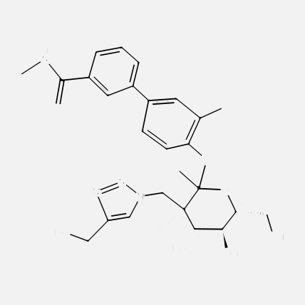 CNC(=O)c1cccc(-c2ccc(OC3(C)O[C@H](CO)[C@@H](O)[C@H](O)[C@@]3(O)Cn3cc(CO)nn3)c(C)c2)c1